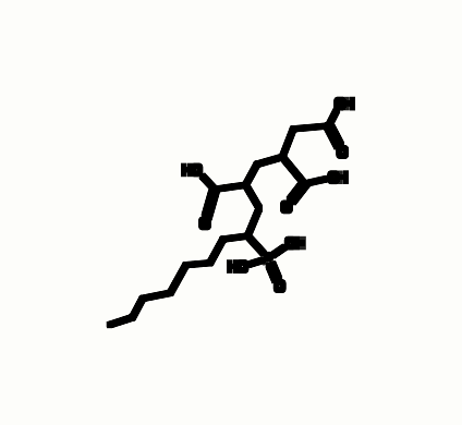 CCCCCCCC(CC(CC(CC(=O)O)C(=O)O)C(=O)O)P(=O)(O)O